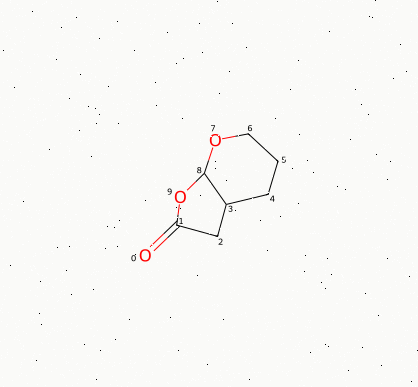 O=C1CC2CCCOC2O1